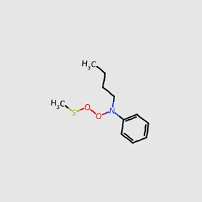 CCCCN(OOSC)c1ccccc1